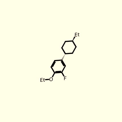 CCOc1ccc([C@H]2CC[C@H](CC)CC2)cc1F